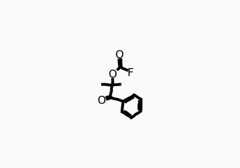 CC(C)(OC(=O)F)C(=O)c1ccccc1